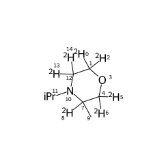 [2H]C1([2H])OC([2H])([2H])C([2H])(C)N(C(C)C)C1([2H])[2H]